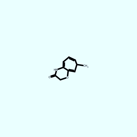 CC1C=CC=C2NC(=O)COC2=C1